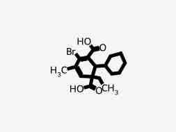 CCC1(C(=O)O)C=C(C)C(Br)=C(C(=O)O)C1C1CCCCC1